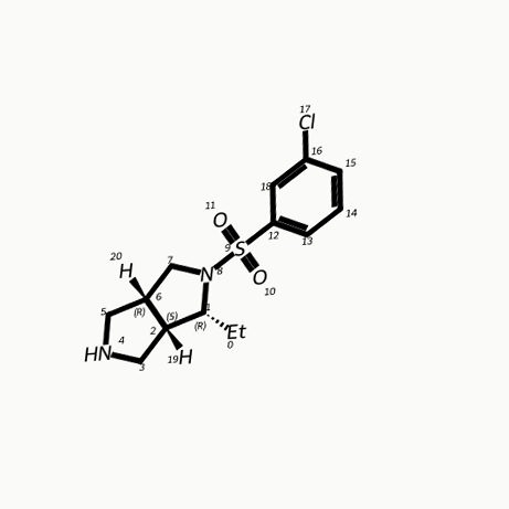 CC[C@@H]1[C@@H]2CNC[C@@H]2CN1S(=O)(=O)c1cccc(Cl)c1